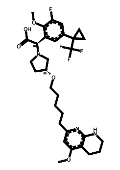 COc1cc(CCCCCO[C@@H]2CCN([C@@H](C(=O)O)c3cc(C4(C(F)(F)F)CC4)cc(F)c3OC)C2)nc2c1CCCN2